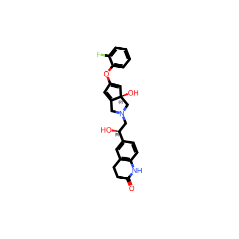 O=C1CCc2cc([C@@H](O)CN3CC4=CC(Oc5ccccc5F)=C[C@]4(O)C3)ccc2N1